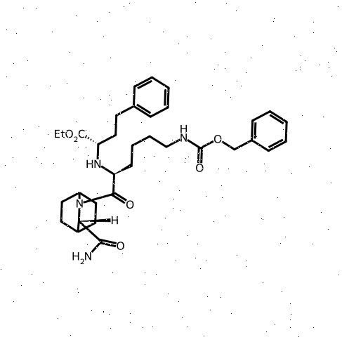 CCOC(=O)[C@H](CCc1ccccc1)N[C@@H](CCCCNC(=O)OCc1ccccc1)C(=O)N1C2CCC(CC2)[C@H]1C(N)=O